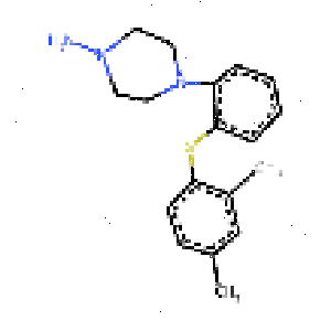 Cc1ccc(Sc2ccccc2N2CCN(N)CC2)c(C)c1